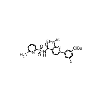 CCN(CC)c1nc(-c2cc(F)cc(OCC(C)C)c2)ccc1C(=O)NS(=O)(=O)c1cccc(N)n1